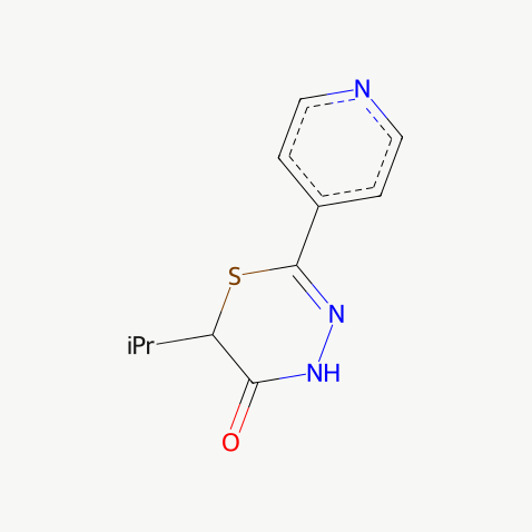 CC(C)C1SC(c2ccncc2)=NNC1=O